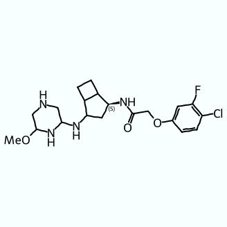 COC1CNCC(NC2C[C@H](NC(=O)COc3ccc(Cl)c(F)c3)C3CCC23)N1